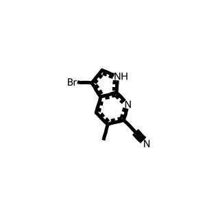 Cc1cc2c(Br)c[nH]c2nc1C#N